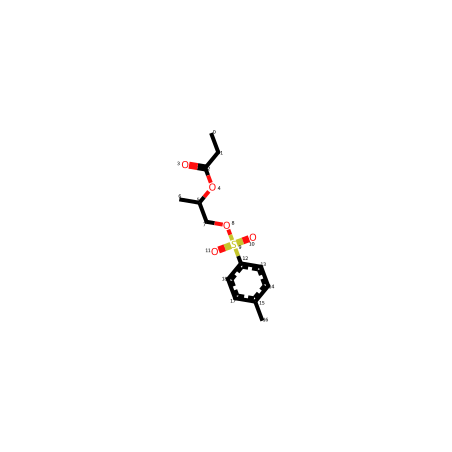 CCC(=O)OC(C)COS(=O)(=O)c1ccc(C)cc1